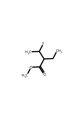 CCC(C(=O)OC)C(C)F